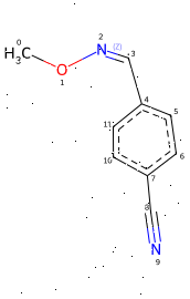 CO/N=[C]\c1ccc(C#N)cc1